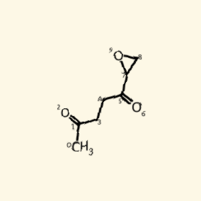 CC(=O)CCC(=O)C1CO1